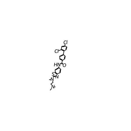 CN(C)CCN(C)c1nc2ccc(NC(=O)c3ccc(-c4ccc(Cl)cc4Cl)cc3)cc2s1